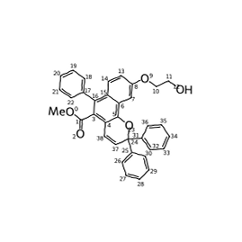 COC(=O)c1c2c(c3cc(OCCO)ccc3c1-c1ccccc1)OC(c1ccccc1)(c1ccccc1)C=C2